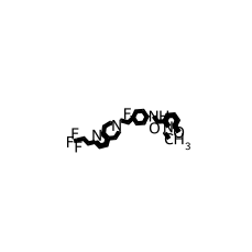 CCn1c(C(=O)N[C@H]2CC[C@](F)(CCN3CCc4ccc(CCC(F)(F)F)nc4CC3)CC2)cccc1=O